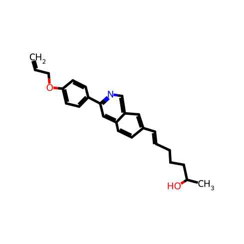 C=CCOc1ccc(-c2cc3ccc(/C=C/CCCC(C)O)cc3cn2)cc1